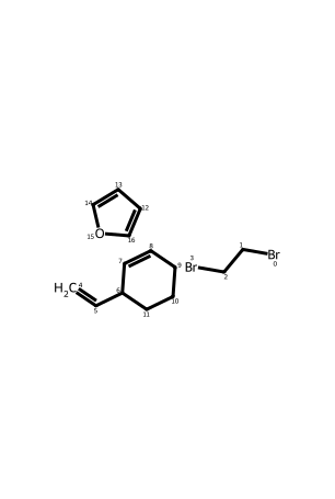 BrCCBr.C=CC1C=CCCC1.c1ccoc1